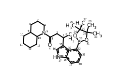 CC(CC(=O)N1CCCC2CCCCC21)c1c[nH]c2cccc(B3OC(C)(C)C(C)(C)O3)c12